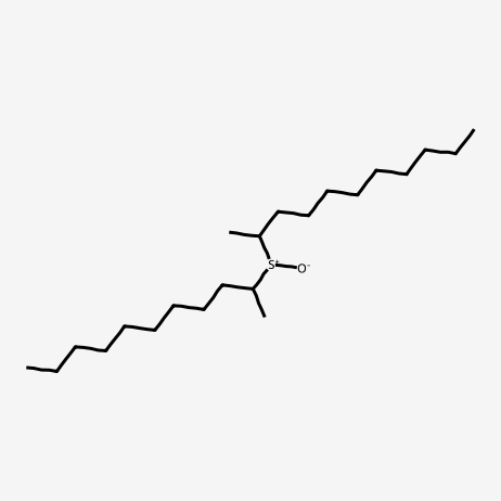 CCCCCCCCCC(C)[S+]([O-])C(C)CCCCCCCCC